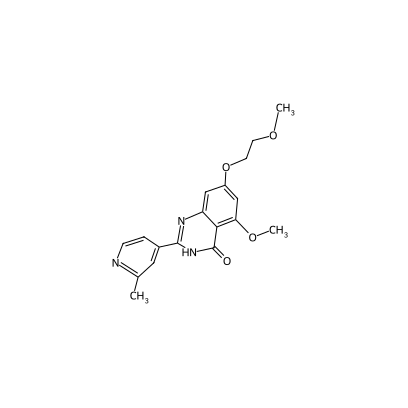 COCCOc1cc(OC)c2c(=O)[nH]c(-c3ccnc(C)c3)nc2c1